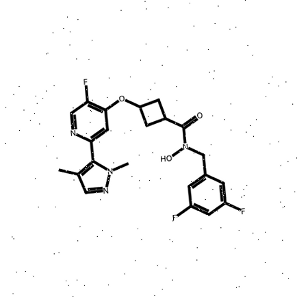 Cc1cnn(C)c1-c1cc(OC2CC(C(=O)N(O)Cc3cc(F)cc(F)c3)C2)c(F)cn1